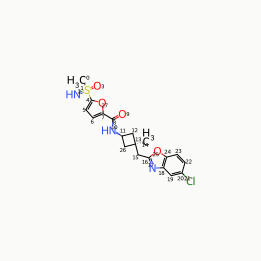 CS(=N)(=O)c1ccc(C(=O)N[C@H]2C[C@@](C)(Cc3nc4cc(Cl)ccc4o3)C2)o1